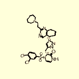 O=C1NC=CN(S(=O)(=O)c2ccc(Cl)c(Cl)c2)[C@@H]1Cc1cn([C@H]2CCCc3nc(CCN4CCCCCC4)ncc32)nn1